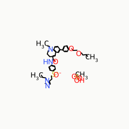 CCCCOCCOc1ccc(-c2ccc3c(c2)/C=C(/C(=O)Nc2ccc([S@@+]([O-])CCc4cncn4CCC)cc2)CCCN3CCC)cc1.CS(=O)(=O)O